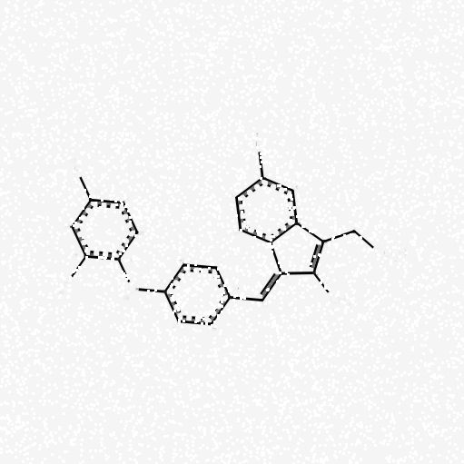 CC1=C(CC(=O)O)c2cc(F)ccc2/C1=C\c1ccc(Oc2ccc(F)cc2F)cc1